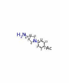 CC(=O)c1ccc(N2CC3C(N)C3C2)cc1